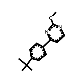 COc1nccc(-c2ccc(C(C)(C)C)cc2)n1